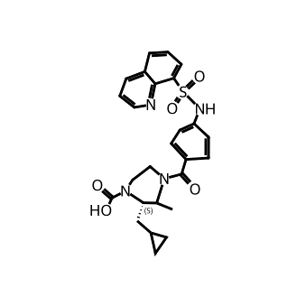 CC1[C@H](CC2CC2)N(C(=O)O)CCN1C(=O)c1ccc(NS(=O)(=O)c2cccc3cccnc23)cc1